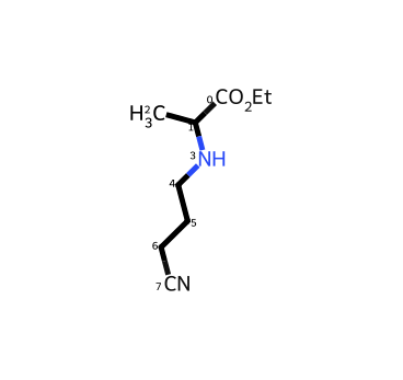 CCOC(=O)C(C)NCCCC#N